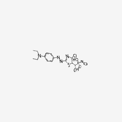 CCN(CC)c1ccc(/N=N/C2=NC(Cl)C(C(O)P(=O)(O)N=O)S2)cc1